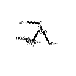 CCCCCCCCCCCCCCCCCC(=O)OCC(COC(=O)CCCCCCCCCCCCCCCCC)OC(=O)CCCCCCCCCCCCCCCCC.CCCC[CH2][Na].NC(CCC(=O)O)C(=O)O